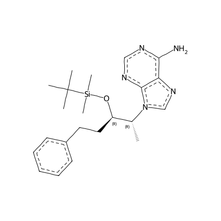 C[C@H]([C@@H](CCc1ccccc1)O[Si](C)(C)C(C)(C)C)n1cnc2c(N)ncnc21